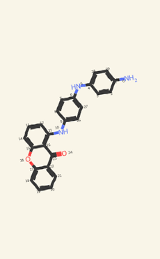 Nc1ccc(Nc2ccc(Nc3cccc4oc5ccccc5c(=O)c34)cc2)cc1